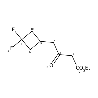 CCOC(=O)CC(=O)CC1CC(F)(F)C1